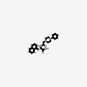 O=C(CN1CCN(c2ccccc2)CC1)N[C@@H](Cc1cccc2ccccc12)C(=O)O